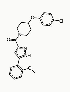 COc1ccccc1-c1cc(C(=O)N2CCC(Oc3ccc(Cl)cc3)CC2)n[nH]1